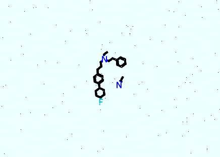 CC#N.CCN(CCCc1ccc(C2CCC(F)CC2)cc1)CCc1ccccc1